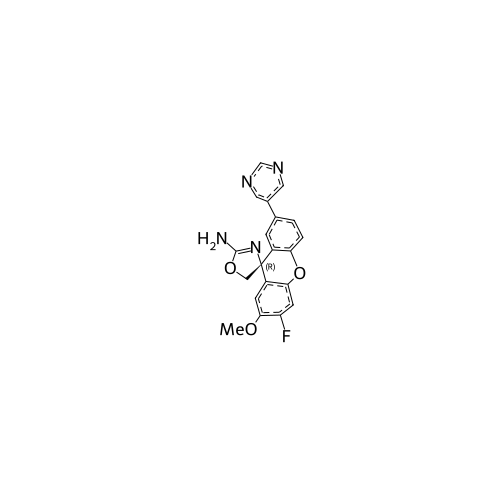 COc1cc2c(cc1F)Oc1ccc(-c3cncnc3)cc1[C@]21COC(N)=N1